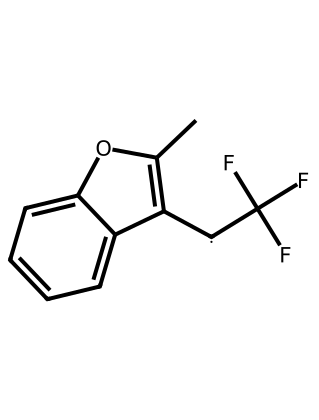 Cc1oc2ccccc2c1[CH]C(F)(F)F